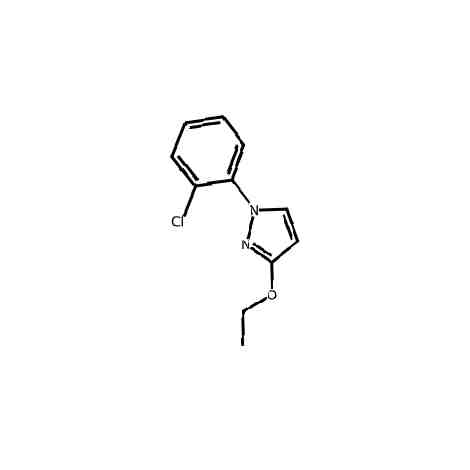 CCOc1ccn(-c2ccccc2Cl)n1